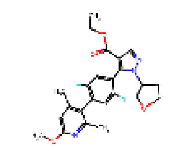 CCOC(=O)c1cnn(C2CCOC2)c1-c1cc(F)c(-c2c(C)cc(OC)nc2C)cc1F